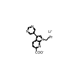 CC(C)Cn1cc(-c2cncnc2)c2ccc(C(=O)[O-])nc21.[Li+]